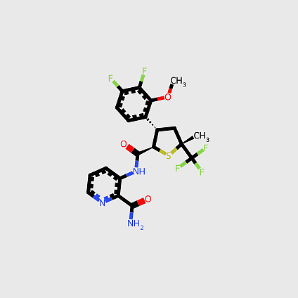 COc1c([C@@H]2C[C@](C)(C(F)(F)F)S[C@H]2C(=O)Nc2cccnc2C(N)=O)ccc(F)c1F